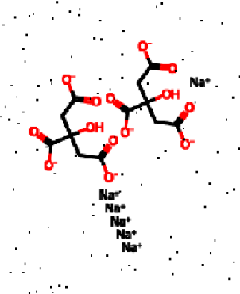 O=C([O-])CC(O)(CC(=O)[O-])C(=O)[O-].O=C([O-])CC(O)(CC(=O)[O-])C(=O)[O-].[Na+].[Na+].[Na+].[Na+].[Na+].[Na+]